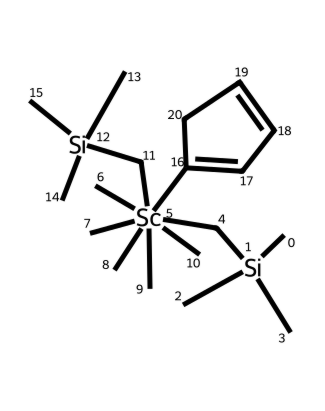 C[Si](C)(C)[CH2][Sc]([CH3])([CH3])([CH3])([CH3])([CH3])([CH2][Si](C)(C)C)[C]1=CC=CC1